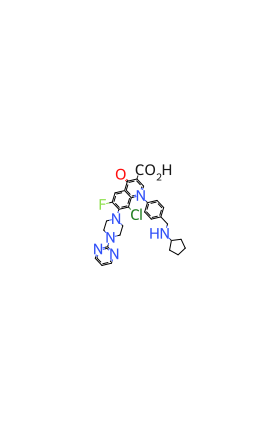 O=C(O)c1cn(-c2ccc(CNC3CCCC3)cc2)c2c(Cl)c(N3CCN(c4ncccn4)CC3)c(F)cc2c1=O